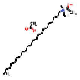 CC(=O)[O-].CCCCCCCCCCCCCCCCCCCCCC[N+](C)(C)C(C)O